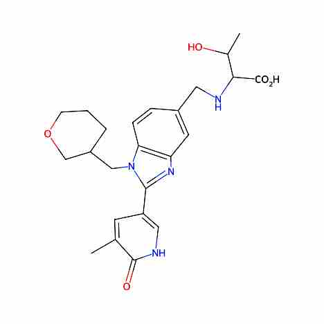 Cc1cc(-c2nc3cc(CNC(C(=O)O)C(C)O)ccc3n2CC2CCCOC2)c[nH]c1=O